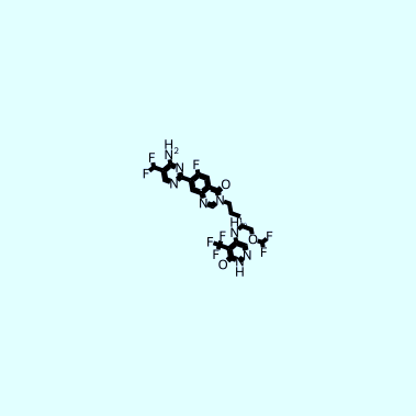 Nc1nc(-c2cc3ncn(CCC[C@H](COC(F)F)Nc4cn[nH]c(=O)c4C(F)(F)F)c(=O)c3cc2F)ncc1C(F)F